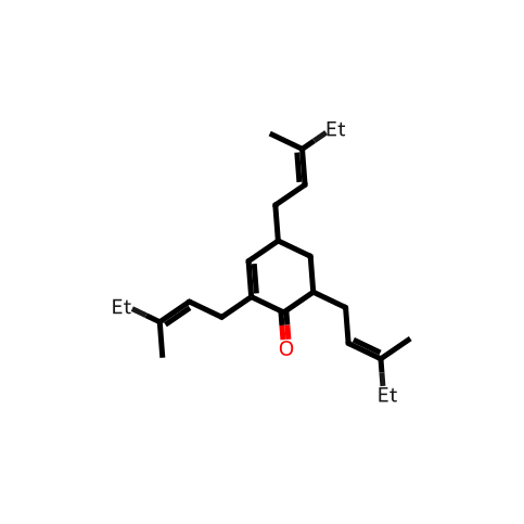 CCC(C)=CCC1=CC(CC=C(C)CC)CC(CC=C(C)CC)C1=O